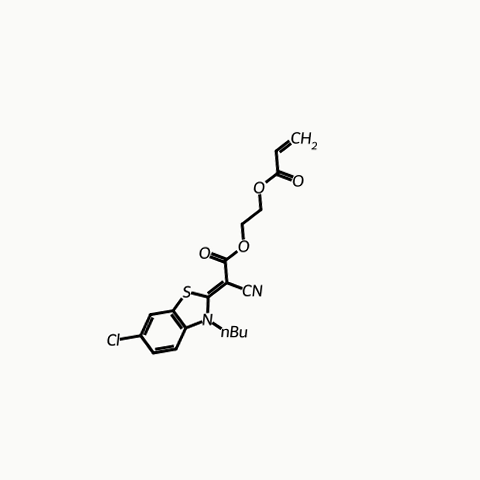 C=CC(=O)OCCOC(=O)/C(C#N)=C1\Sc2cc(Cl)ccc2N1CCCC